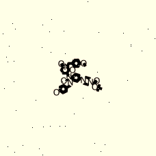 COc1ccc(CN2C(=O)CCC(n3c(=O)n(Cc4ccc(OC)cc4)c4cc(N5CCN(C(=O)OC(C)(C)C)CC5)ccc43)C2=O)cc1